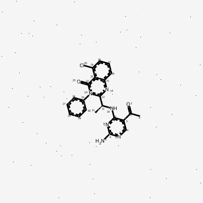 CC(=O)c1cnc(N)nc1N[C@@H](C)c1nc2cccc(Cl)c2c(=O)n1-c1ccccc1